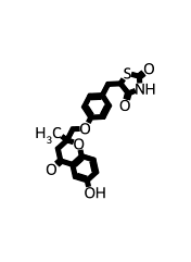 CC1(COc2ccc(CC3SC(=O)NC3=O)cc2)CC(=O)c2cc(O)ccc2O1